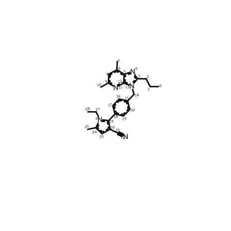 CCCc1nc2c(C)cc(C)nc2n1Cc1ccc(-c2c(C#N)cc(C)n2CC)cc1